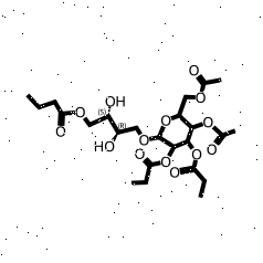 CCCC(=O)OC[C@H](O)[C@H](O)COC1OC(COC(C)=O)C(OC(C)=O)C(OC(=O)CC)C1OC(=O)CC